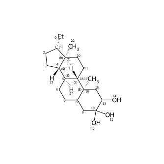 CC[C@H]1CC[C@H]2[C@@H]3CCC4CC(O)(O)C(O)C[C@]4(C)[C@H]3CC[C@]12C